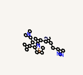 C=Cc1c(/C=C\C)c2cc(-c3ccc4c5ccccc5c5cc(-c6cc(-c7cc8c9ccccc9c9ccccc9c8cc7-c7cccc(-c8ccc9c(c8)c8ccccc8n9-c8ccccc8)c7)cc(-c7cccc8c7sc7c(-c9ccccc9)cccc78)c6)ncc5c4c3)ccc2c2cc(-c3cccc(-c4ccc5c6ccccc6c6nccnc6c5c4)c3)ccc12